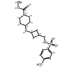 Cc1ccc(S(=O)(=O)OCC2CC(OC3CCN(C(=O)OC(C)(C)C)CC3)C2)cc1